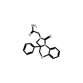 NC(=O)CN1CC2(c3ccccc3)COc3ccccc3N2C1=S